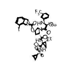 CC[C@@H]1C[C@]1(NC(=O)[C@@H]1C[C@@H](OC(=O)N2Cc3cccc(I)c3C2)CN1C(=O)[C@@H](Nc1cccc(C(F)(F)F)c1)C(C)(C)C)C(=O)NS(=O)(=O)C1CC1